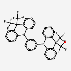 FC(F)(F)C1(C(F)(F)F)c2ccccc2N(c2cccc(N3c4ccccc4C(C(F)(F)F)(C(F)(F)F)c4ccccc43)c2)c2ccccc21